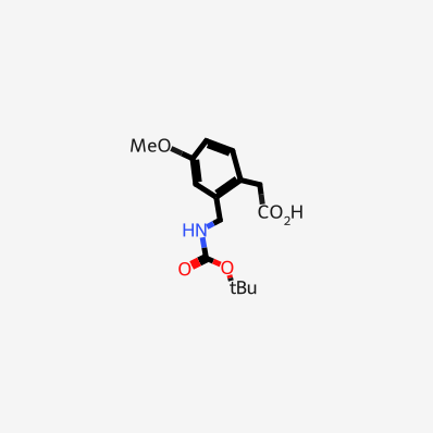 COc1ccc(CC(=O)O)c(CNC(=O)OC(C)(C)C)c1